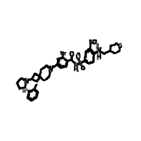 Cc1ccccc1[C@@H]1CCCN1C1CC2(CCN(c3ccc(C(=O)NS(=O)(=O)c4ccc(NCC5CCOCC5)c([N+](=O)[O-])c4)c(Br)c3)CC2)C1